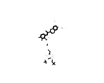 COCOc1cc2c(cc1OCOC)C(=O)C(c1coc3cc(C)c(C)c(C(=O)OCCOCCC(=O)N[C@@H](CCC(C)(C)C)C(=O)OC(C)(C)C)c3c1=O)=CC2